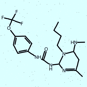 CCCCN1C(NC)CC(C)=NC1NC(=O)Nc1ccc(OC(F)(F)F)cc1